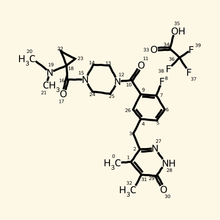 Cc1c(Cc2ccc(F)c(C(=O)N3CCN(C(=O)C4(N(C)C)CC4)CC3)c2)n[nH]c(=O)c1C.O=C(O)C(F)(F)F